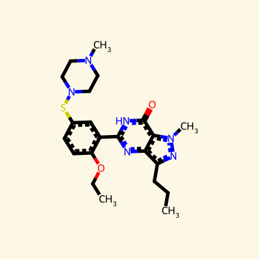 CCCc1nn(C)c2c(=O)[nH]c(-c3cc(SN4CCN(C)CC4)ccc3OCC)nc12